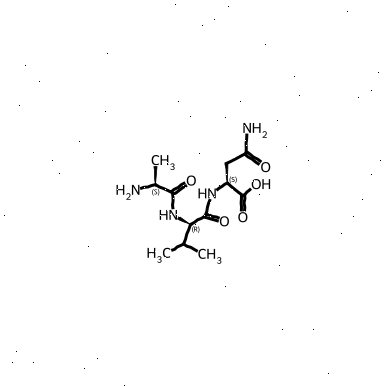 CC(C)[C@@H](NC(=O)[C@H](C)N)C(=O)N[C@@H](CC(N)=O)C(=O)O